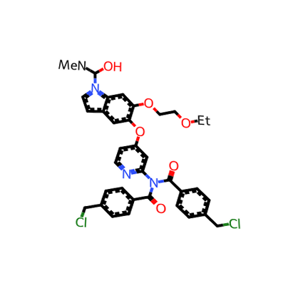 CCOCCOc1cc2c(ccn2C(O)NC)cc1Oc1ccnc(N(C(=O)c2ccc(CCl)cc2)C(=O)c2ccc(CCl)cc2)c1